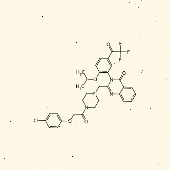 CC(C)Oc1ccc(C(=O)C(F)(F)F)cc1-n1c(CN2CCN(C(=O)COc3ccc(Cl)cc3)CC2)nc2ccccc2c1=O